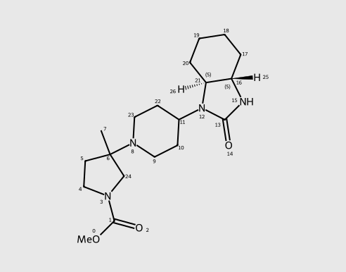 COC(=O)N1CCC(C)(N2CCC(N3C(=O)N[C@H]4CCCC[C@@H]43)CC2)C1